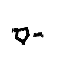 [SnH4].c1c[nH]cn1